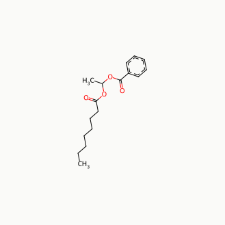 CCCCCCCC(=O)OC(C)OC(=O)c1ccccc1